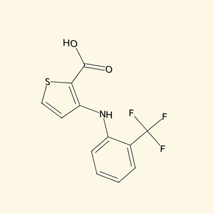 O=C(O)c1sccc1Nc1ccccc1C(F)(F)F